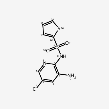 Nc1cc(Cl)cnc1NS(=O)(=O)c1cccs1